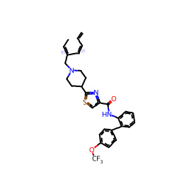 C=C/C=C\C(=C/C)CN1CCC(c2nc(C(=O)Nc3ccccc3-c3ccc(OC(F)(F)F)cc3)cs2)CC1